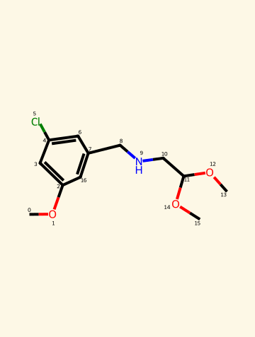 COc1cc(Cl)cc(CNCC(OC)OC)c1